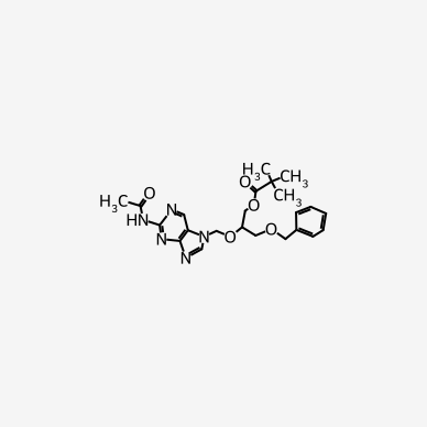 CC(=O)Nc1ncc2c(ncn2COC(COCc2ccccc2)COC(=O)C(C)(C)C)n1